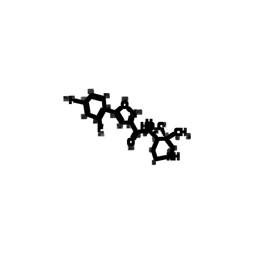 C[C@@]1(C(=O)O)CNCC[C@H]1NC(=O)c1cc(-c2ccc(F)cc2F)on1